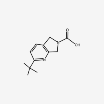 CC(C)(C)c1ccc2c(n1)CN(C(=O)O)C2